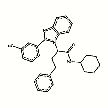 N#Cc1cccc(-c2nc3ccccc3n2C(CCc2ccccc2)C(=O)NC2CCCCC2)c1